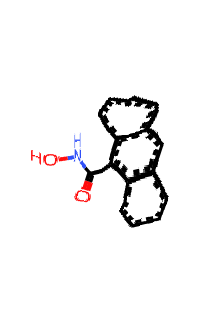 O=C(NO)c1c2ccccc2cc2ccccc12